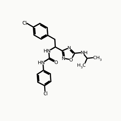 CC(C)Nc1nc(C(Cc2ccc(Cl)cc2)NC(=O)Nc2ccc(Cl)cc2)no1